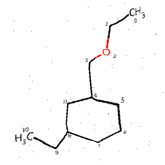 CCOCC1CCCC(CC)C1